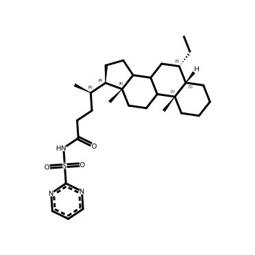 CC[C@H]1CC2C3CC[C@H]([C@H](C)CCC(=O)NS(=O)(=O)c4ncccn4)[C@@]3(C)CCC2[C@@]2(C)CCCC[C@@H]12